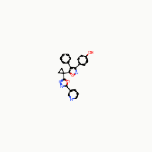 Oc1ccc(-c2noc(C3(c4nnc(-c5cccnc5)o4)CC3)c2-c2ccccc2)cc1